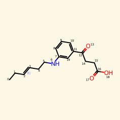 CC/C=C/CCNc1cccc(C(=O)CCC(=O)O)c1